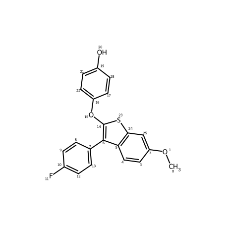 COc1ccc2c(-c3ccc(F)cc3)c(Oc3ccc(O)cc3)sc2c1